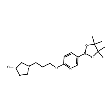 CC1(C)OB(c2ccc(OCCCN3CC[C@H](F)C3)nc2)OC1(C)C